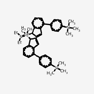 CC[Si](CC)=[Hf]([CH3])([CH3])([CH]1C=Cc2c(-c3ccc([Si](C)(C)C)cc3)cccc21)[CH]1C=Cc2c(-c3ccc([Si](C)(C)C)cc3)cccc21